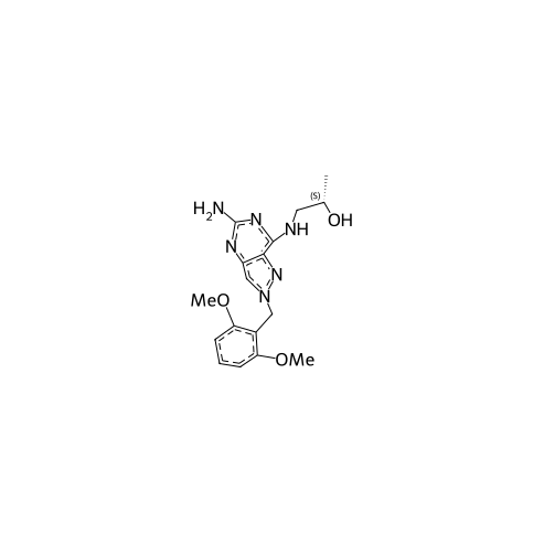 COc1cccc(OC)c1Cn1cc2nc(N)nc(NC[C@H](C)O)c2n1